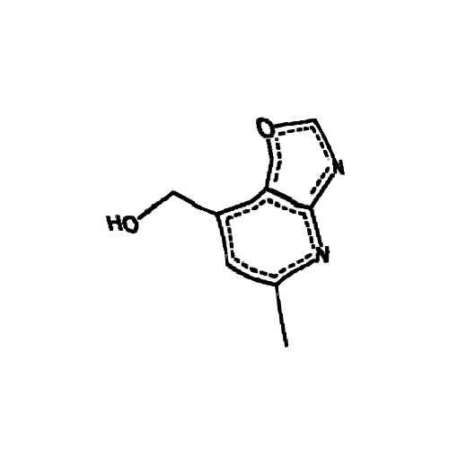 Cc1cc(CO)c2ocnc2n1